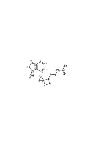 CCC(=O)NCCC1CCC12CC2c1cccc2c1C(O)CO2